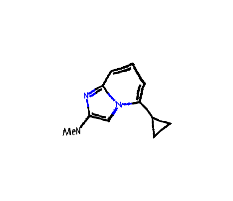 CNc1cn2c(C3CC3)cccc2n1